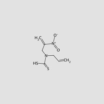 C=CCN(CC(=C)[N+](=O)[O-])C(=S)S